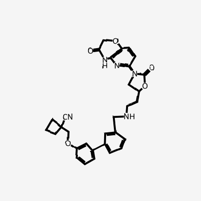 N#CC1(COc2cccc(-c3cccc(CNCCC4CN(c5ccc6c(n5)NC(=O)CO6)C(=O)O4)c3)c2)CCC1